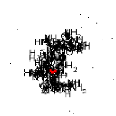 CC[C@H](C)[C@H](NC(=O)[C@H](Cc1ccccc1)NC(=O)[C@H](CCCNC(=N)N)NC(=O)[C@H](CO)NC(=O)CNC(=O)[C@H](Cc1c[nH]cn1)NC(=O)[C@@H](N)CCC(N)=O)C(=O)N[C@@H](CCCNC(=N)N)C(=O)N[C@@H](CC(C)C)C(=O)N[C@@H](CCCCN)C(=O)N[C@@H](CC(C)C)C(=O)N[C@@H](CCC(=O)O)C(=O)N[C@@H](CCCNC(=N)N)C(=O)O